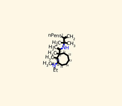 C=C(CCCCC)C(C)(C)NC(=C)C1(C)CCCCC/C(N(C)CC)=C\1C